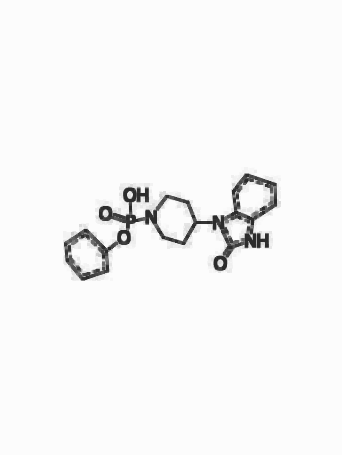 O=c1[nH]c2ccccc2n1C1CCN(P(=O)(O)Oc2ccccc2)CC1